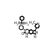 BC(B)(c1ccccc1)N1CCC[C@@H](N2Cc3cc4c(-c5ccnc(C)c5)n[nH]c4cc3NC2=O)C1